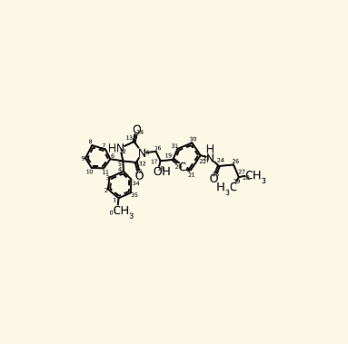 Cc1ccc(C2(c3ccccc3)NC(=O)N(CC(O)c3ccc(NC(=O)CC(C)C)cc3)C2=O)cc1